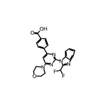 O=C(O)c1ccc(-c2cc(N3CCOCC3)nc(-n3c(C(F)F)nc4ccccc43)n2)cc1